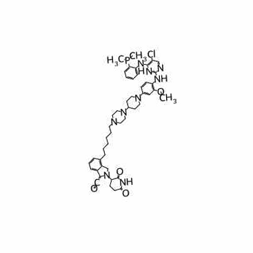 COc1cc(N2CCC(N3CCN(CCCCCCc4cccc5c4CN(C4CCC(=O)NC4=O)C5=C=O)CC3)CC2)ccc1Nc1ncc(Cl)c(Nc2ccccc2P(C)C)n1